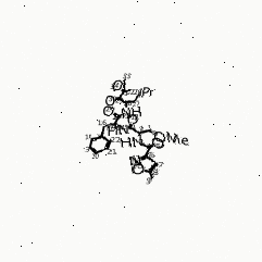 COCC(NC(=O)c1cc(C)on1)C(=O)N[C@@H](Cc1ccccc1)C(=O)NC(CC(C)C)C(=O)C1(C)CO1